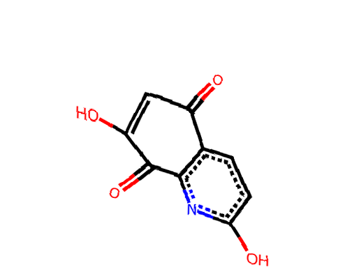 O=C1C=C(O)C(=O)c2nc(O)ccc21